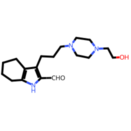 O=Cc1[nH]c2c(c1CCCN1CCN(CCO)CC1)CCCC2